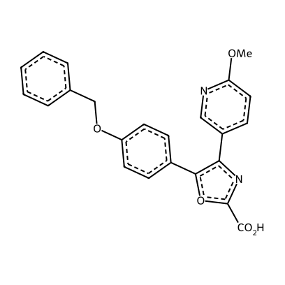 COc1ccc(-c2nc(C(=O)O)oc2-c2ccc(OCc3ccccc3)cc2)cn1